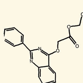 CCOC(=O)COc1nc(-c2ccccc2)nc2ccccc12